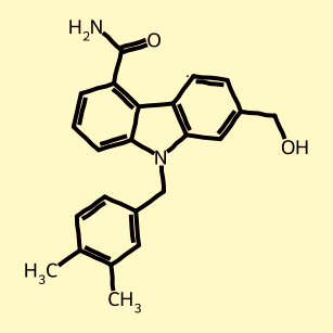 Cc1ccc(Cn2c3cc(CO)c[c]c3c3c(C(N)=O)cccc32)cc1C